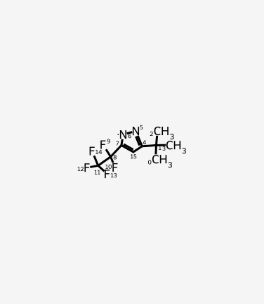 CC(C)(C)C1=N[N]C(C(F)(F)C(F)(F)F)=C1